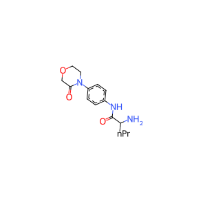 CCCC(N)C(=O)Nc1ccc(N2CCOCC2=O)cc1